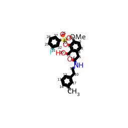 COc1ccc(CC(=O)NCCc2cccc(C)c2)c(CO)c1OS(=O)(=O)c1cccc(F)c1